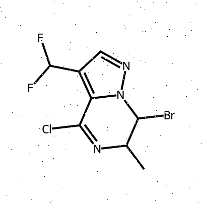 CC1N=C(Cl)c2c(C(F)F)cnn2C1Br